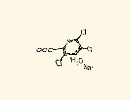 O.O=C([O-])c1nc(Cl)c(Cl)cc1Cl.[Na+]